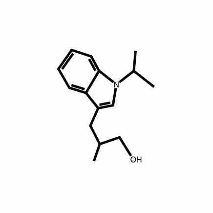 CC(CO)Cc1cn(C(C)C)c2ccccc12